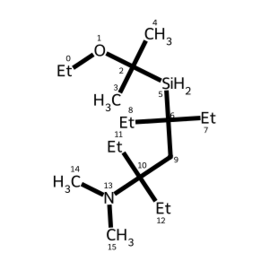 CCOC(C)(C)[SiH2]C(CC)(CC)CC(CC)(CC)N(C)C